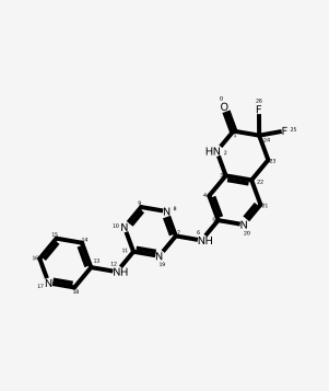 O=C1Nc2cc(Nc3ncnc(Nc4cccnc4)n3)ncc2CC1(F)F